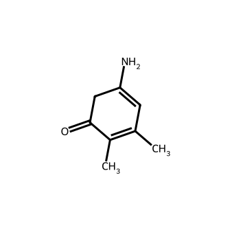 CC1=C(C)C(=O)CC(N)=C1